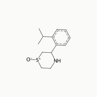 CC(C)c1ccccc1C1C[S+]([O-])CCN1